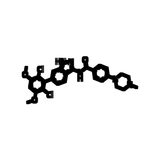 COc1cc(OC)c(Cl)c(-c2ccc3c(NC(=O)c4ccc(N5CCN(C)CC5)cc4)n[nH]c3c2)c1Cl